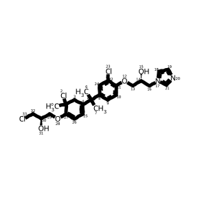 CC1(Cl)CC(C(C)(C)c2ccc(OC[C@H](O)Cn3ccnc3)c(Cl)c2)=CC=C1OC[C@@H](O)CCl